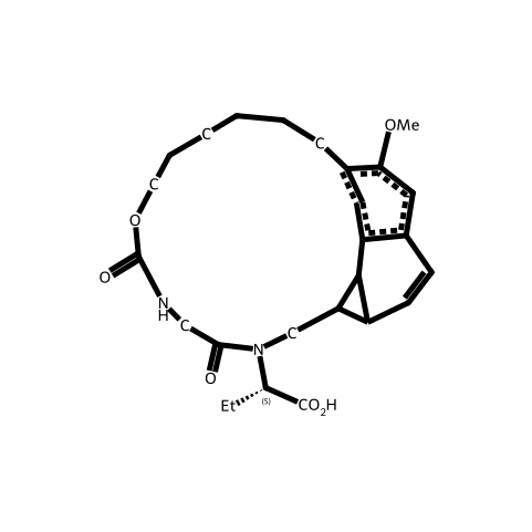 CC[C@@H](C(=O)O)N1CC2C3C=Cc4cc(OC)c(cc4C32)CCCCCCOC(=O)NCC1=O